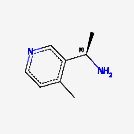 Cc1ccncc1[C@@H](C)N